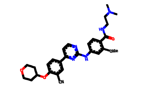 COc1cc(Nc2nccc(-c3ccc(OC4CCOCC4)c(C#N)c3)n2)ccc1C(=O)NCCN(C)C